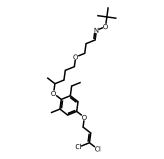 CCc1cc(OCC=C(Cl)Cl)cc(C)c1OC(C)CCCOCCC=NOC(C)(C)C